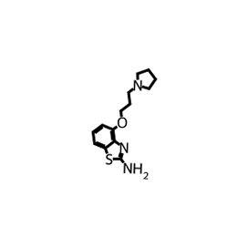 Nc1nc2c(OCCCN3CCCC3)cccc2s1